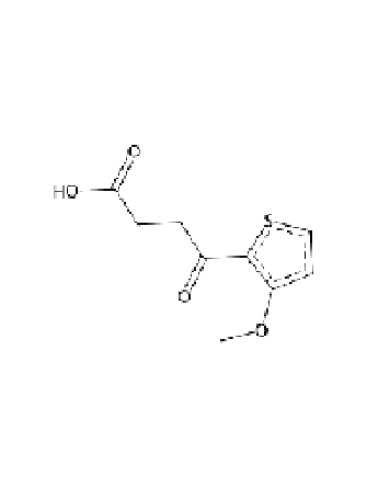 COc1ccsc1C(=O)CCC(=O)O